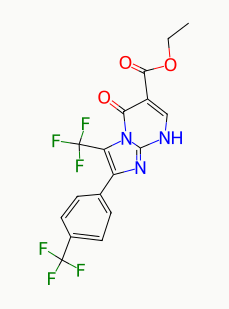 CCOC(=O)c1c[nH]c2nc(-c3ccc(C(F)(F)F)cc3)c(C(F)(F)F)n2c1=O